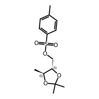 Cc1ccc(S(=O)(=O)OC[C@@H]2OC(C)(C)O[C@H]2C)cc1